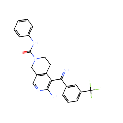 N=C(c1cccc(C(F)(F)F)c1)c1c(N)ncc2c1CCN(C(=O)Nc1ccccc1)C2